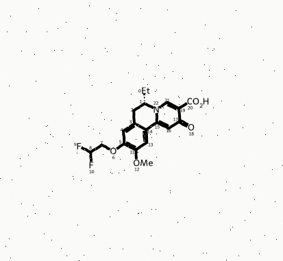 CC[C@H]1Cc2cc(OCC(F)F)c(OC)cc2-c2cc(=O)c(C(=O)O)cn21